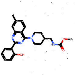 Cc1ccc2c(N3CCC(CNC(=O)OC(C)C)CC3)nc(-c3ccccc3O)nc2c1